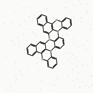 c1ccc2c(c1)Oc1c3c(cc4ccccc14)[SH]1c4cc5ccccc5c5c4N(c4ccccc4O5)c4cccc(c41)N23